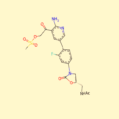 CC(=O)NC[C@H]1CN(c2ccc(-c3cnc(N)c(C(=O)COS(C)(=O)=O)c3)c(F)c2)C(=O)O1